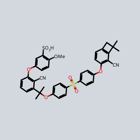 COc1ccc(Oc2cccc(C(C)(C)Oc3ccc(S(=O)(=O)c4ccc(Oc5ccc6c(c5C#N)C(C)(C)C6)cc4)cc3)c2C#N)cc1S(=O)(=O)O